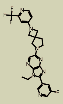 CCn1c(-c2cncc(F)c2)nc2nc(N3CCC4(CN(c5ccnc(C(F)(F)F)c5)C4)C3)cnc21